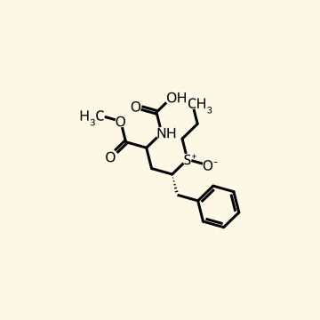 CCC[S+]([O-])[C@H](Cc1ccccc1)CC(NC(=O)O)C(=O)OC